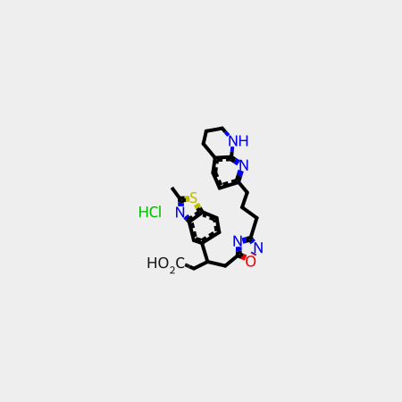 Cc1nc2cc(C(CC(=O)O)Cc3nc(CCCc4ccc5c(n4)NCCC5)no3)ccc2s1.Cl